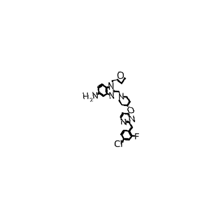 Nc1ccc2c(c1)nc(CN1CCC(Oc3ccnc(Cc4ccc(Cl)cc4F)n3)CC1)n2C[C@@H]1CCO1